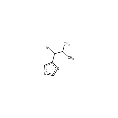 CC(C)C(Br)c1cncs1